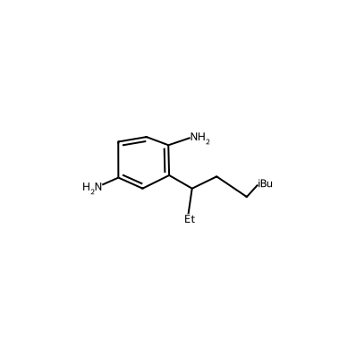 CCC(C)CCC(CC)c1cc(N)ccc1N